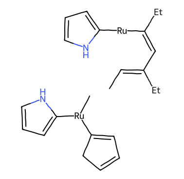 CC=C(C=[C](CC)[Ru][c]1ccc[nH]1)CC.[CH3][Ru]([C]1=CC=CC1)[c]1ccc[nH]1